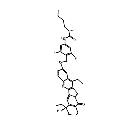 CCCC[C@H](C)C(=O)Nc1cc(F)c(COc2ccc3nc4c(c(CC)c3c2)Cn2c-4cc3c(c2=O)COC(=O)[C@]3(O)CC)c(F)c1